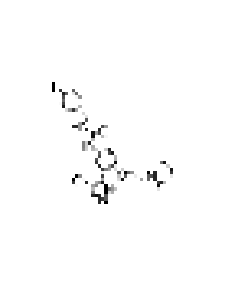 CC1CCCCN1CCOc1ccc(NC(=O)NCc2ccc(F)cc2)cc1-c1c(Cl)cnn1C